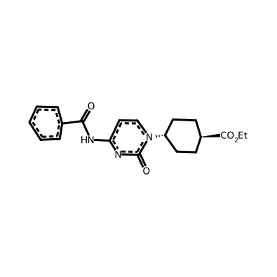 CCOC(=O)[C@H]1CC[C@H](n2ccc(NC(=O)c3ccccc3)nc2=O)CC1